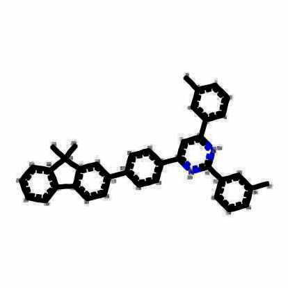 Cc1cccc(-c2cc(-c3ccc(-c4ccc5c(c4)C(C)(C)c4ccccc4-5)cc3)nc(-c3cccc(C)c3)n2)c1